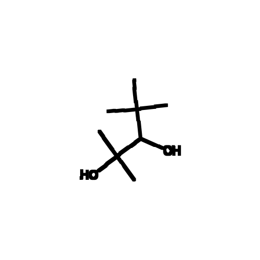 CC(C)(C)C(O)C(C)(C)O